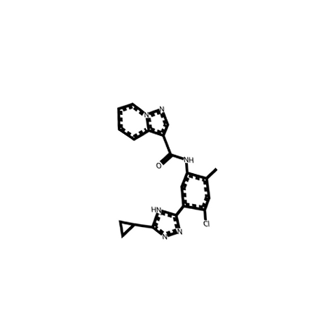 Cc1cc(Cl)c(-c2nnc(C3CC3)[nH]2)cc1NC(=O)c1cnn2ccccc12